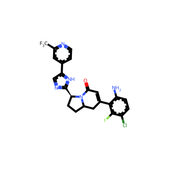 Nc1ccc(Cl)c(F)c1C1=CC(=O)N2C(CC[C@H]2c2ncc(-c3ccnc(C(F)(F)F)c3)[nH]2)C1